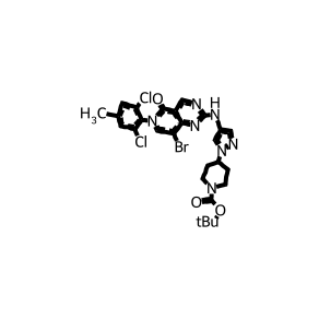 Cc1cc(Cl)c(-n2cc(Br)c3nc(Nc4cnn(C5CCN(C(=O)OC(C)(C)C)CC5)c4)ncc3c2=O)c(Cl)c1